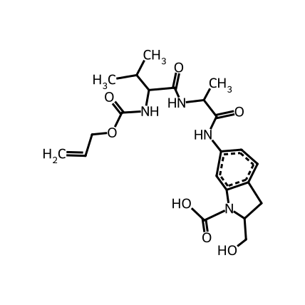 C=CCOC(=O)NC(C(=O)NC(C)C(=O)Nc1ccc2c(c1)N(C(=O)O)C(CO)C2)C(C)C